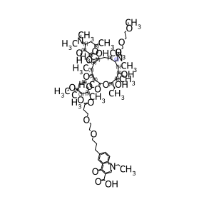 CC[C@H]1OC(=O)[C@H](C)[C@@H](O[C@H]2C[C@@](C)(OC)[C@@H](OC(=O)CCOCCOCCCc3ccc4c(c3)c(=O)c(C(=O)O)cn4CC)[C@H](C)O2)[C@H](C)[C@@H](O[C@@H]2O[C@H](C)C[C@H](N(C)C)[C@H]2O)[C@](C)(O)C[C@@H](C)/C(=N\OCOCCOC)[C@H](C)[C@@H](O)[C@]1(C)O